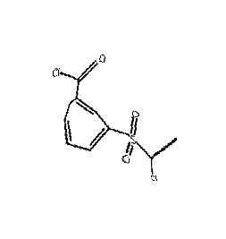 CC(Cl)S(=O)(=O)c1cccc(C(=O)Cl)c1